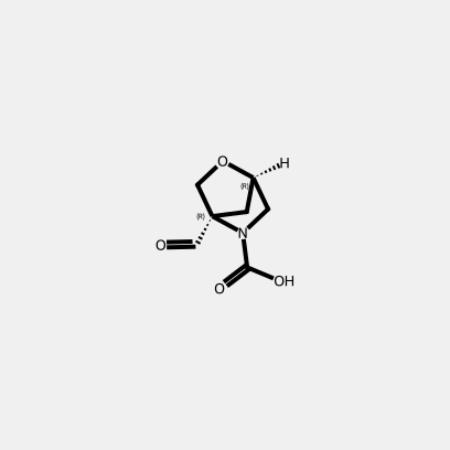 O=C[C@@]12CO[C@@H](CN1C(=O)O)C2